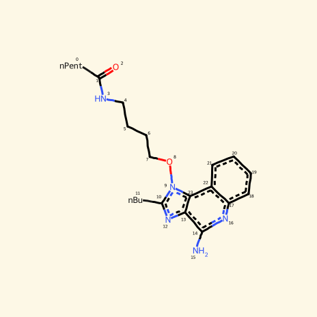 CCCCCC(=O)NCCCCOn1c(CCCC)nc2c(N)nc3ccccc3c21